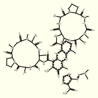 CN(C)/N=N/c1[nH]cnc1C(N)=O.Cc1c2oc3c(C)ccc(C(=O)NC4C(=O)NC(C(C)C)C(=O)N5CCCC5C(=O)N(C)CC(=O)N(C)C(C(C)C)C(=O)OC4C)c3nc-2c(C(=O)NC2C(=O)NC(C(C)C)C(=O)N3CCCC3C(=O)N(C)CC(=O)N(C)C(C(C)C)C(=O)OC2C)c(N)c1=O